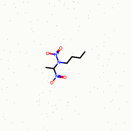 CCCCN(C(C)[N+](=O)[O-])[N+](=O)[O-]